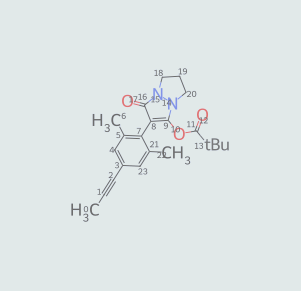 CC#Cc1cc(C)c(-c2c(OC(=O)C(C)(C)C)n3n(c2=O)CCC3)c(C)c1